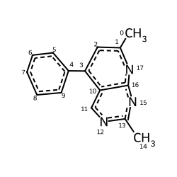 Cc1cc(-c2ccccc2)c2cnc(C)nc2n1